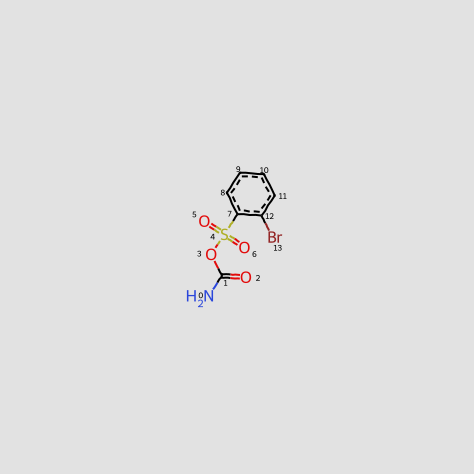 NC(=O)OS(=O)(=O)c1ccccc1Br